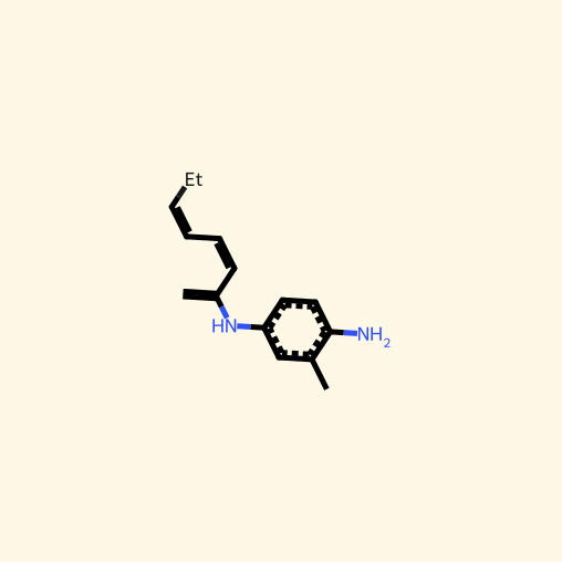 C=C(/C=C\C=C/CC)Nc1ccc(N)c(C)c1